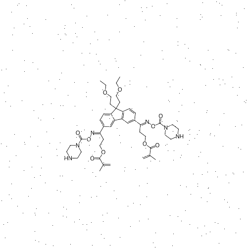 C=C(C)C(=O)OCC/C(=N\OC(=O)N1CCNCC1)c1ccc2c(c1)-c1cc(/C(CCOC(=O)C(=C)C)=N/OC(=O)N3CCNCC3)ccc1C2(CCOCC)CCOCC